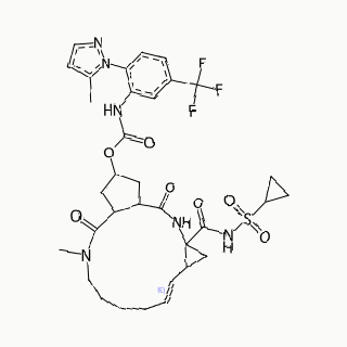 Cc1ccnn1-c1ccc(C(F)(F)F)cc1NC(=O)OC1CC2C(=O)NC3(C(=O)NS(=O)(=O)C4CC4)CC3/C=C/CCCCN(C)C(=O)C2C1